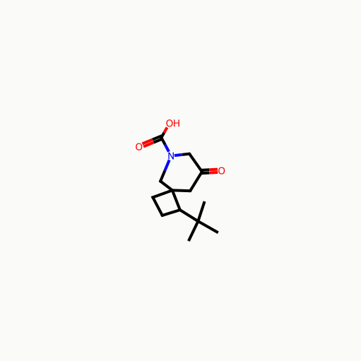 CC(C)(C)C1CCC12CC(=O)CN(C(=O)O)C2